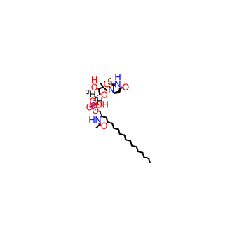 [2H]C([2H])(OP(=O)(O)OC[C@@H](CCCCCCCCCCCCCCCC)NC(C)=O)[C@H]1O[C@@H](n2ccc(=O)[nH]c2=S)C(C)(O)[C@H]1O